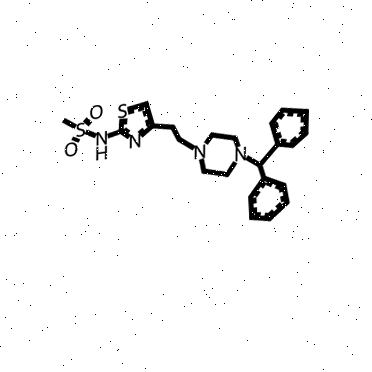 CS(=O)(=O)Nc1nc(CCN2CCN(C(c3ccccc3)c3ccccc3)CC2)cs1